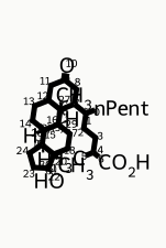 CCCCCC(CCC(C)C(=O)O)C1CC(=O)CC2CC[C@@H]3[C@H](CC[C@]4(C)[C@@H](O)CC[C@@H]34)[C@]21C